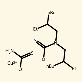 CCCCC(CC)CN(CC(CC)CCCC)C([O-])=S.NC([O-])=S.[Cu+2]